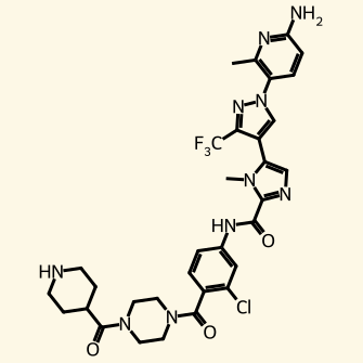 Cc1nc(N)ccc1-n1cc(-c2cnc(C(=O)Nc3ccc(C(=O)N4CCN(C(=O)C5CCNCC5)CC4)c(Cl)c3)n2C)c(C(F)(F)F)n1